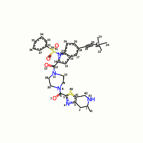 CC1Cc2nc(C(=O)N3CCN(C(=O)c4cc5cc(C#C[Si](C)(C)C)ccc5n4S(=O)(=O)c4ccccc4)CC3)sc2CN1